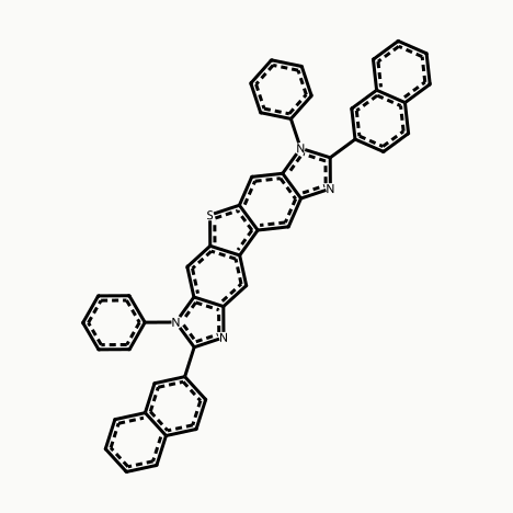 c1ccc(-n2c(-c3ccc4ccccc4c3)nc3cc4c(cc32)sc2cc3c(cc24)nc(-c2ccc4ccccc4c2)n3-c2ccccc2)cc1